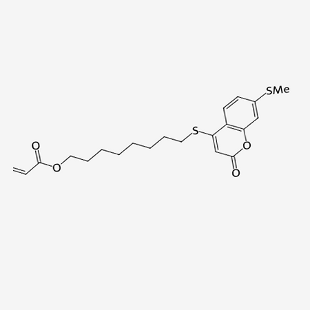 C=CC(=O)OCCCCCCCCSc1cc(=O)oc2cc(SC)ccc12